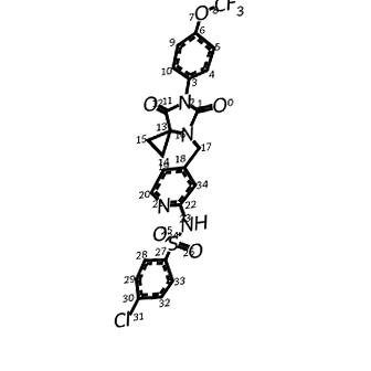 O=C1N(c2ccc(OC(F)(F)F)cc2)C(=O)C2(CC2)N1Cc1ccnc(NS(=O)(=O)c2ccc(Cl)cc2)c1